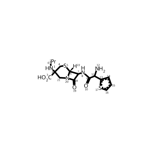 CC(C)NC1(C(=O)O)CS[C@@H]2C(NC(=O)C(N)c3cccs3)C(=O)N2C1